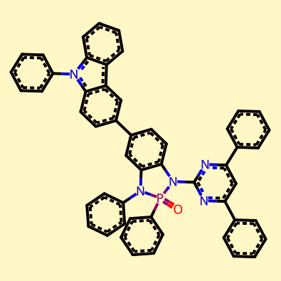 O=P1(c2ccccc2)N(c2ccccc2)c2cc(-c3ccc4c(c3)c3ccccc3n4-c3ccccc3)ccc2N1c1nc(-c2ccccc2)cc(-c2ccccc2)n1